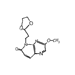 COc1cnc2ccc(=O)n(CCC3OCCO3)c2n1